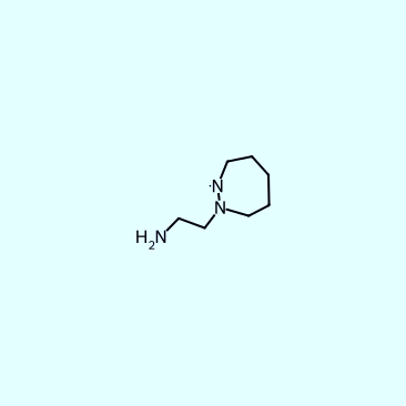 NCCN1CCCCC[N]1